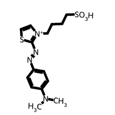 CN(C)c1ccc(/N=N/c2scc[n+]2CCCCS(=O)(=O)O)cc1